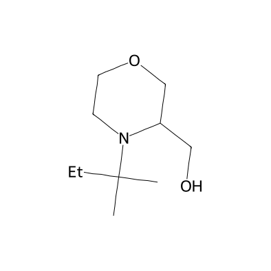 CCC(C)(C)N1CCOCC1CO